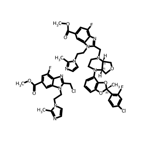 COC(=O)c1cc(F)c2nc(CCl)n(CCn3ccnc3C)c2c1.COC(=O)c1cc(F)c2nc(CN3CCN(c4cccc5c4O[C@](C)(c4ccc(Cl)cc4F)O5)[C@H]4COC[C@H]43)n(CCn3ccnc3C)c2c1